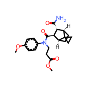 COC(=O)CCN(C(=O)[C@H]1[C@H](C(N)=O)[C@H]2CC[C@@H]1C21CC1)c1ccc(OC)cc1